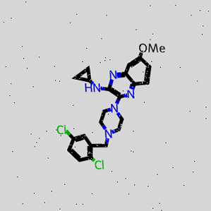 COc1ccc2nc(N3CCN(Cc4cc(Cl)ccc4Cl)CC3)c(NC3CC3)nc2c1